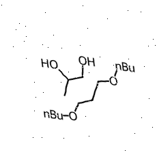 CC(O)CO.CCCCOCCCOCCCC